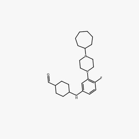 O=CC1CCC(Nc2ccc(F)c(N3CCN(C4CCCCCC4)CC3)c2)CC1